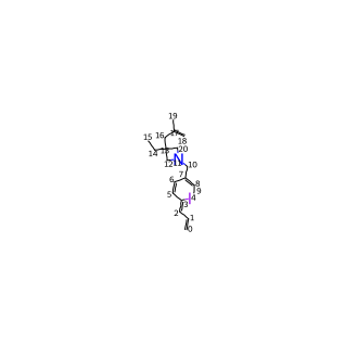 C=C/C=C(I)/C=C\C(=C/C)CN1CC(CC)(CC(=C)C)C1